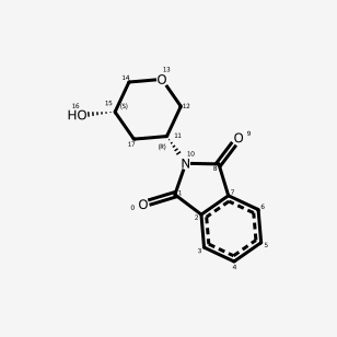 O=C1c2ccccc2C(=O)N1[C@H]1COC[C@@H](O)C1